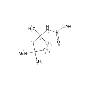 CNC(C)(C)CC(C)(C)NC(=O)OC